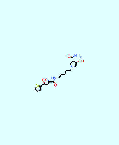 NC(=O)[C@@H]1CN(CCCCCNC(=O)c2cc(-c3cccs3)on2)C[C@@H]1O